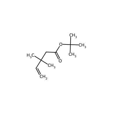 C=CC(C)(C)CC(=O)OC(C)(C)C